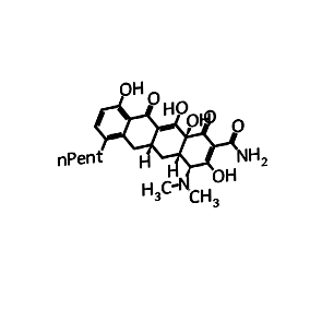 CCCCCc1ccc(O)c2c1C[C@H]1C[C@H]3[C@H](N(C)C)C(O)=C(C(N)=O)C(=O)[C@@]3(O)C(O)=C1C2=O